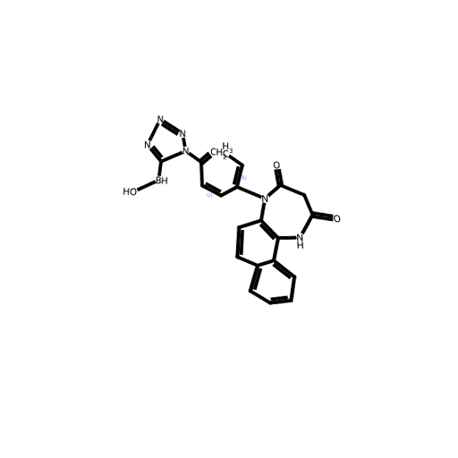 C=C(/C=C\C(=C/C)N1C(=O)CC(=O)Nc2c1ccc1ccccc21)n1nnnc1BO